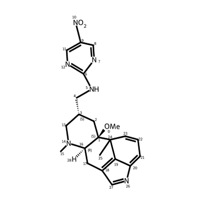 CO[C@]12C[C@@H](CNc3ncc([N+](=O)[O-])cn3)CN(C)[C@@H]1CC1=C3C(=CC=CC32C)N=C1